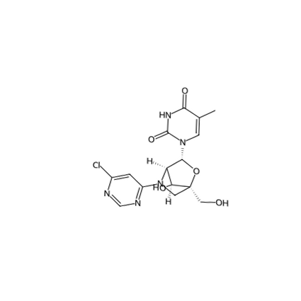 Cc1cn([C@@H]2O[C@@]3(CO)CN(c4cc(Cl)ncn4)[C@@H]2[C@@H]3O)c(=O)[nH]c1=O